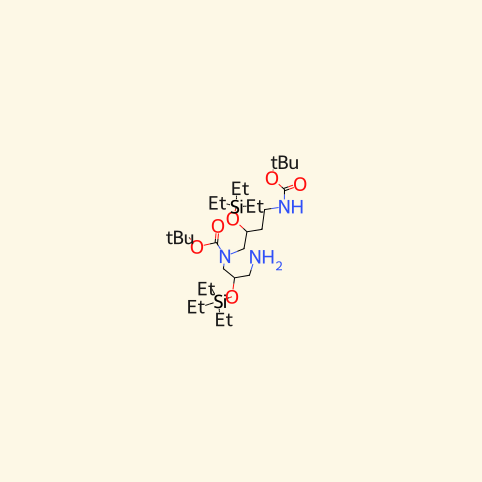 CC[Si](CC)(CC)OC(CN)CN(CC(CCNC(=O)OC(C)(C)C)O[Si](CC)(CC)CC)C(=O)OC(C)(C)C